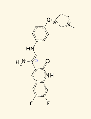 CN1CC[C@@H](Oc2ccc(N/C=C(\N)c3cc4cc(F)c(F)cc4[nH]c3=O)cc2)C1